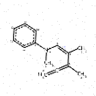 C=C=C(C)/C(C)=C\N(C)c1ccccc1